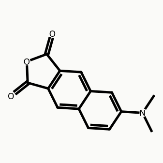 CN(C)c1ccc2cc3c(cc2c1)C(=O)OC3=O